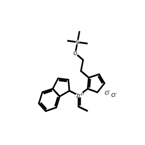 C[CH]=[Zr+2]([C]1=C(CCO[Si](C)(C)C)C=CC1)[CH]1C=Cc2ccccc21.[Cl-].[Cl-]